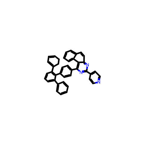 C1=CCCC(c2cccc(-c3ccccc3)c2-c2ccc(-c3nc(-c4ccncc4)nc4ccc5ccccc5c34)cc2)=C1